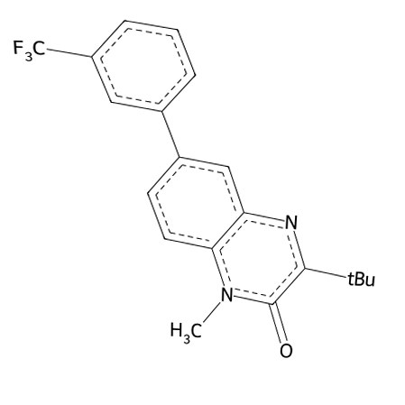 Cn1c(=O)c(C(C)(C)C)nc2cc(-c3cccc(C(F)(F)F)c3)ccc21